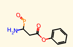 NC(CC(=O)Oc1ccccc1)P=O